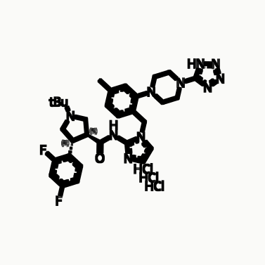 Cc1ccc(Cn2ccnc2NC(=O)[C@@H]2CN(C(C)(C)C)C[C@H]2c2ccc(F)cc2F)c(N2CCN(c3nnn[nH]3)CC2)c1.Cl.Cl.Cl